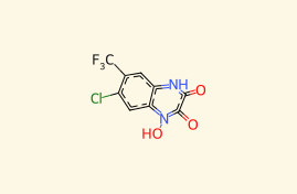 O=c1[nH]c2cc(C(F)(F)F)c(Cl)cc2n(O)c1=O